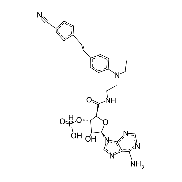 CCN(CCNC(=O)[C@H]1O[C@@H](n2cnc3c(N)ncnc32)[C@H](O)[C@@H]1O[PH](=O)O)c1ccc(/C=C/c2ccc(C#N)cc2)cc1